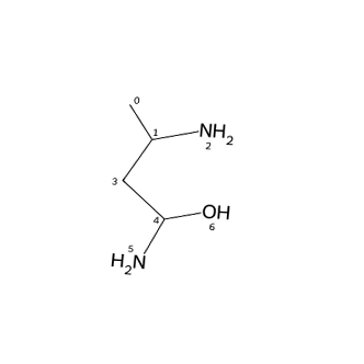 CC(N)CC(N)O